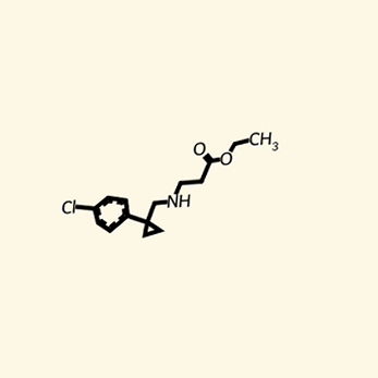 CCOC(=O)CCNCC1(c2ccc(Cl)cc2)CC1